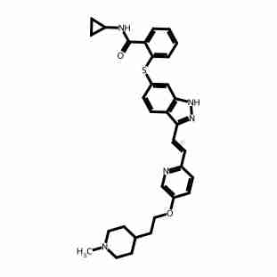 CN1CCC(CCOc2ccc(/C=C/c3n[nH]c4cc(Sc5ccccc5C(=O)NC5CC5)ccc34)nc2)CC1